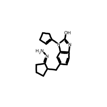 NN=C1CCCC1Cc1ccc2nc(O)n(C3=CCCC3)c2c1